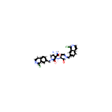 NC(=O)[C@@]1(N[C@H]2CCN(Cc3ccc4ccnc(Cl)c4c3)C2=O)CCN(Cc2ccc3ccnc(Cl)c3c2)C1=O